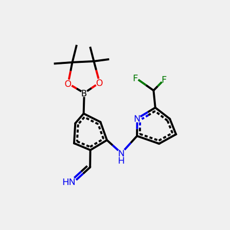 CC1(C)OB(c2ccc(C=N)c(Nc3cccc(C(F)F)n3)c2)OC1(C)C